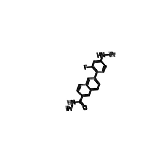 CC(C)NC(=O)c1ccc2cc(-c3ccc(NC(C)C)cc3F)ccc2c1